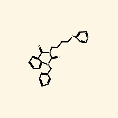 O=c1c2ccccc2n(Cc2ccccc2)c(=O)n1CCCCSc1ccncc1